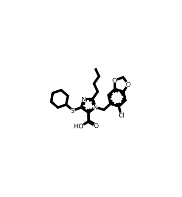 CCCCc1nc(SC2CCCCC2)c(C(=O)O)n1Cc1cc2c(cc1Cl)OCO2